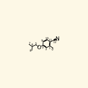 Cc1cc(OCC(C)C)ccc1C#N